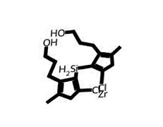 CC1=C(CCCO)C([SiH2]C2=C(Cl)CC(C)=C2CCCO)=C(Cl)C1.[Zr]